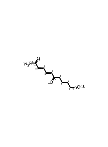 CCCCCCCCCCCCC(=O)C=CC=CC(N)=O